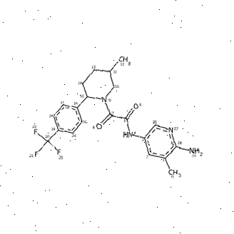 Cc1cc(NC(=O)C(=O)N2CC(C)CCC2c2ccc(C(F)(F)F)cc2)cnc1N